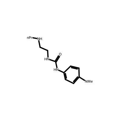 CCCNCCNC(=O)Nc1ccc(NC)cc1